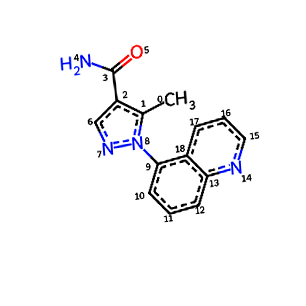 Cc1c(C(N)=O)cnn1-c1cccc2ncccc12